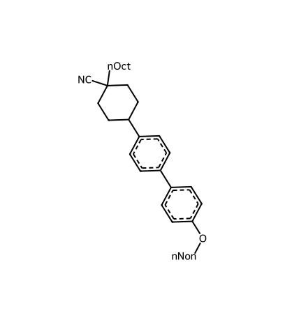 CCCCCCCCCOc1ccc(-c2ccc(C3CCC(C#N)(CCCCCCCC)CC3)cc2)cc1